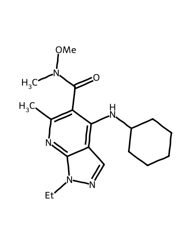 CCn1ncc2c(NC3CCCCC3)c(C(=O)N(C)OC)c(C)nc21